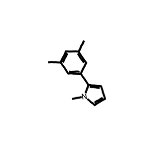 Cc1cc(C)cc(-c2cccn2C)c1